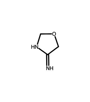 N=C1COCN1